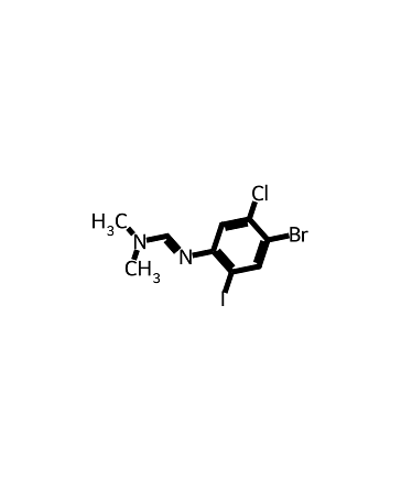 CN(C)/C=N/c1cc(Cl)c(Br)cc1I